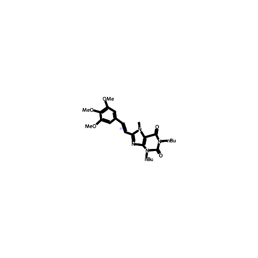 CCCCn1c(=O)c2c(nc(/C=C/c3cc(OC)c(OC)c(OC)c3)n2C)n(CCCC)c1=O